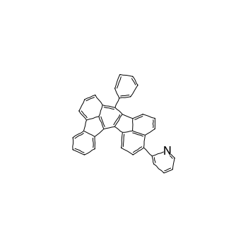 c1ccc(-c2c3cccc4c5ccccc5c(c34)c3c4ccc(-c5ccccn5)c5cccc(c23)c54)cc1